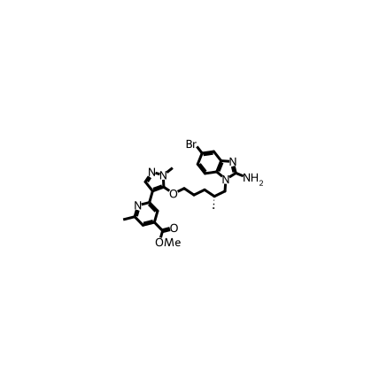 COC(=O)c1cc(C)nc(-c2cnn(C)c2OCCC[C@@H](C)Cn2c(N)nc3cc(Br)ccc32)c1